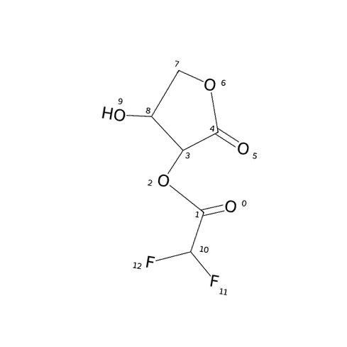 O=C(OC1C(=O)OCC1O)C(F)F